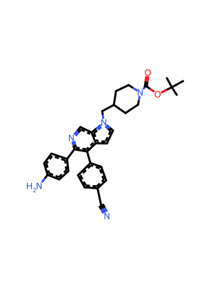 CC(C)(C)OC(=O)N1CCC(Cn2ccc3c(-c4ccc(C#N)cc4)c(-c4ccc(N)cc4)ncc32)CC1